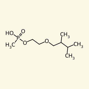 CC(C)C(C)COCCOP(C)(=O)O